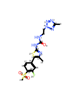 Cc1nnn(CCNC(=O)Nc2nc(C)c(-c3ccc(S(C)(=O)=O)c(F)c3)s2)n1